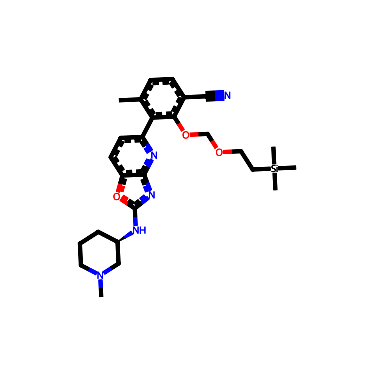 Cc1ccc(C#N)c(OCOCC[Si](C)(C)C)c1-c1ccc2oc(N[C@@H]3CCCN(C)C3)nc2n1